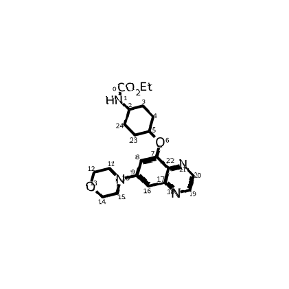 CCOC(=O)NC1CCC(Oc2cc(N3CCOCC3)cc3nccnc23)CC1